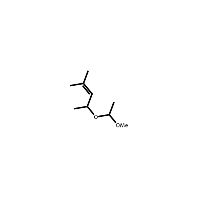 COC(C)OC(C)C=C(C)C